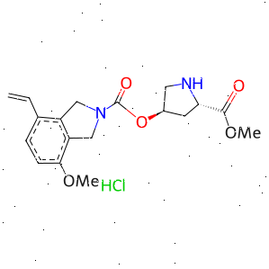 C=Cc1ccc(OC)c2c1CN(C(=O)O[C@H]1CN[C@H](C(=O)OC)C1)C2.Cl